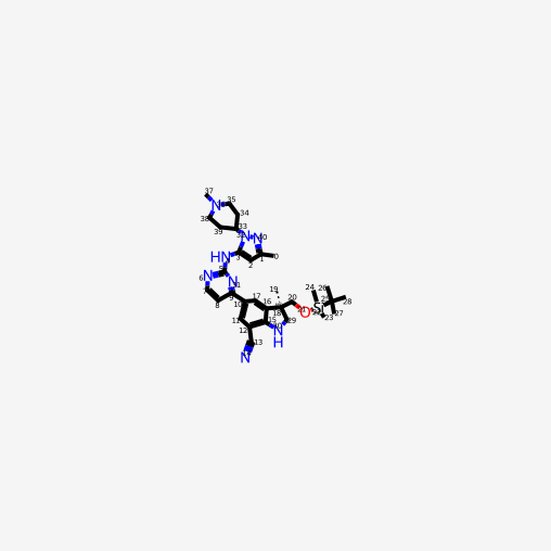 Cc1cc(Nc2nccc(-c3cc(C#N)c4c(c3)[C@@](C)(CO[Si](C)(C)C(C)(C)C)CN4)n2)n(C2CCN(C)CC2)n1